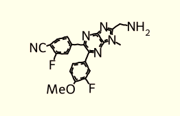 COc1ccc(-c2nc3c(nc2-c2ccc(C#N)c(F)c2)nc(CN)n3C)cc1F